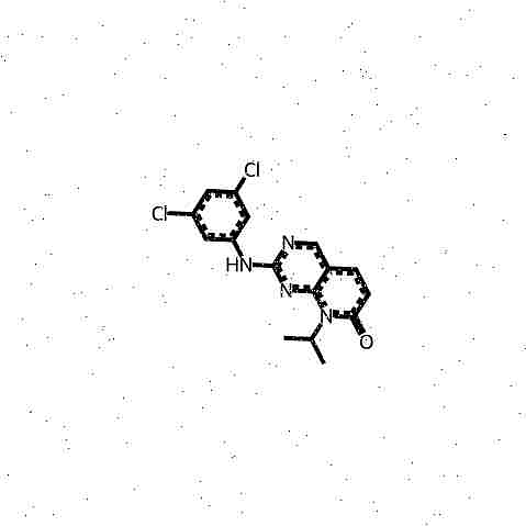 CC(C)n1c(=O)ccc2cnc(Nc3cc(Cl)cc(Cl)c3)nc21